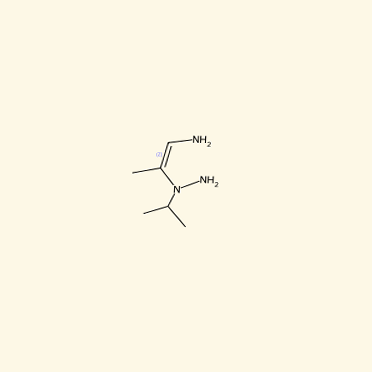 C/C(=C/N)N(N)C(C)C